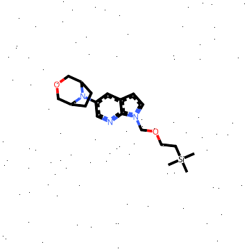 C[Si](C)(C)CCOCn1ccc2cc(N3C4CCC3COC4)cnc21